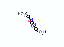 O=C(O)c1ccc(-c2nc3cc4nc(-c5ccc(C(=O)O)cc5)oc4cc3o2)cc1